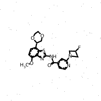 COc1ccc(C2COCCO2)c2sc(NC(=O)c3ccnc(N4CC(F)C4)c3)nc12